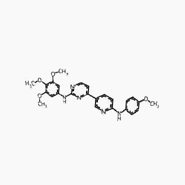 COc1ccc(Nc2ccc(-c3ccnc(Nc4cc(OC)c(OC)c(OC)c4)n3)cn2)cc1